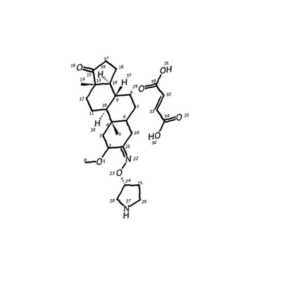 COC1C[C@@]2(C)C(CC[C@@H]3[C@@H]2CC[C@]2(C)C(=O)CC[C@@H]32)CC1=NO[C@@H]1CCNC1.O=C(O)/C=C/C(=O)O